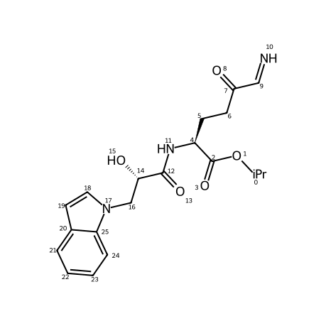 CC(C)OC(=O)[C@H](CCC(=O)C=N)NC(=O)[C@@H](O)Cn1ccc2ccccc21